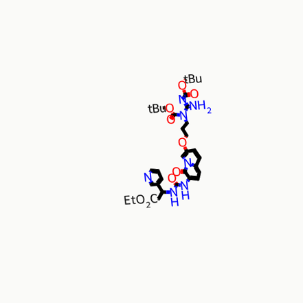 CCOC(=O)CC(NC(=O)Nc1ccc2ccc(OCCCN(C(=O)OC(C)(C)C)/C(N)=N/C(=O)OC(C)(C)C)cn2c1=O)c1cccnc1